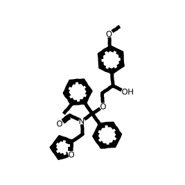 COc1ccc(C(O)COC(c2ccccc2)(c2ccccc2C)N(C=O)Cc2ccco2)cc1